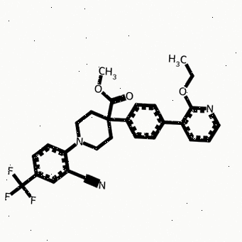 CCOc1ncccc1-c1ccc(C2(C(=O)OC)CCN(c3ccc(C(F)(F)F)cc3C#N)CC2)cc1